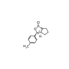 Cc1ccc([C@H]2OP(Cl)N3CCC[C@@H]23)cc1